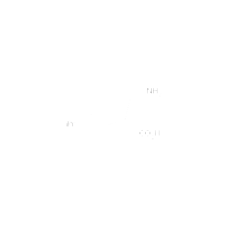 CC(C)CCC(CN)C(=O)O